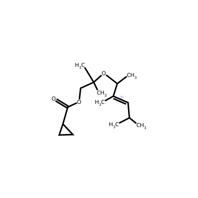 C/C(=C\C(C)C)C(C)OC(C)(C)COC(=O)C1CC1